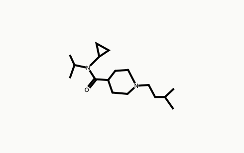 CC(C)CCN1CCC(C(=O)N(C(C)C)C2CC2)CC1